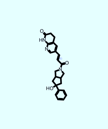 O=C1CCc2cc(/C=C/C(=O)N3CC4CC(O)(c5ccccc5)CC4C3)cnc2N1